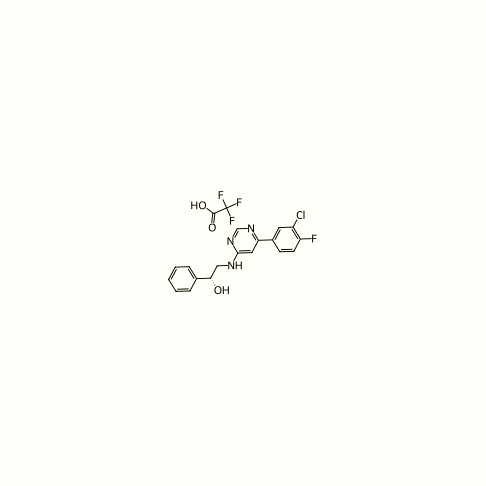 O=C(O)C(F)(F)F.O[C@@H](CNc1cc(-c2ccc(F)c(Cl)c2)ncn1)c1ccccc1